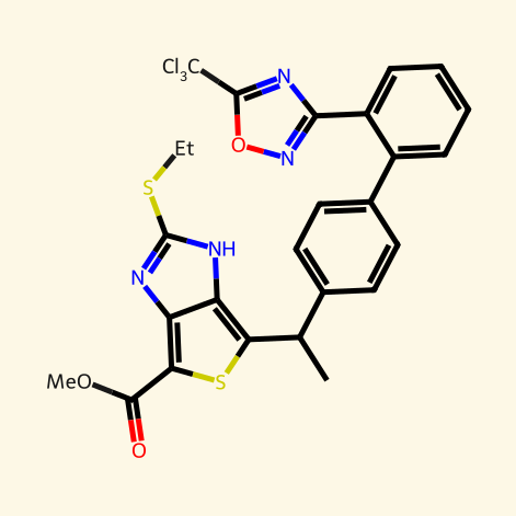 CCSc1nc2c(C(=O)OC)sc(C(C)c3ccc(-c4ccccc4-c4noc(C(Cl)(Cl)Cl)n4)cc3)c2[nH]1